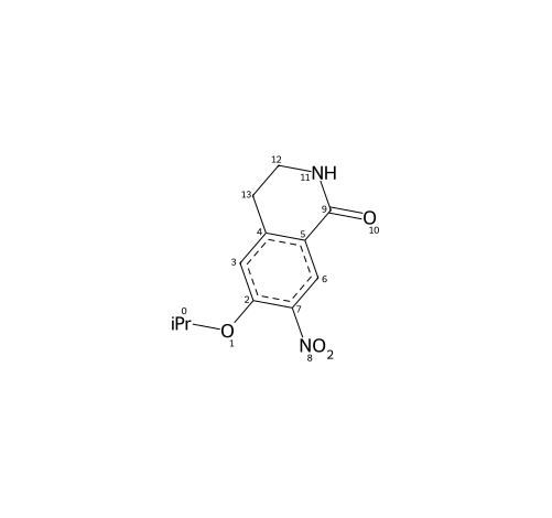 CC(C)Oc1cc2c(cc1[N+](=O)[O-])C(=O)NCC2